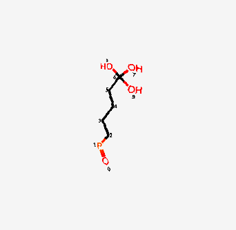 O=PCCCCC(O)(O)O